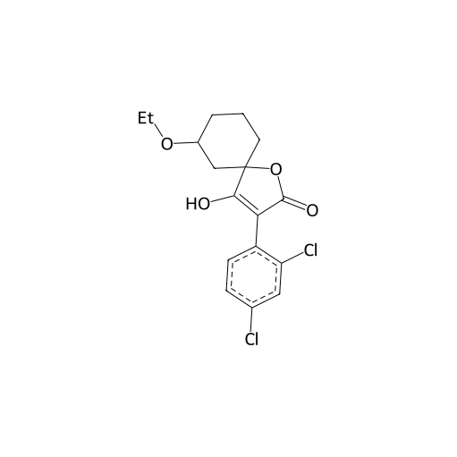 CCOC1CCCC2(C1)OC(=O)C(c1ccc(Cl)cc1Cl)=C2O